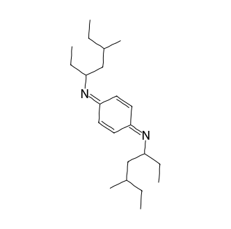 CCC(C)CC(CC)N=C1C=CC(=NC(CC)CC(C)CC)C=C1